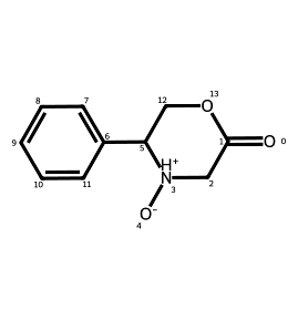 O=C1C[NH+]([O-])C(c2ccccc2)CO1